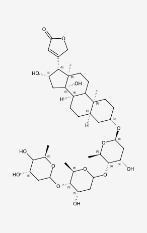 C[C@H]1OC(O[C@H]2[C@@H](O)CC(O[C@H]3[C@@H](O)C[C@H](O[C@H]4CC[C@]5(C)C6CC[C@]7(C)[C@@H](C8=CC(=O)OC8)[C@@H](O)C[C@]7(O)[C@@H]6CC[C@@H]5C4)O[C@@H]3C)O[C@@H]2C)C[C@H](O)C1O